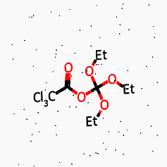 CCOC(OCC)(OCC)OC(=O)C(Cl)(Cl)Cl